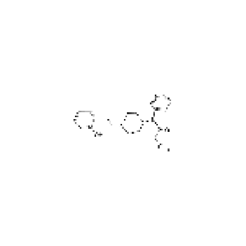 CCC(=O)N(c1cccnc1)C1CCN(CCc2ccccc2O)CC1